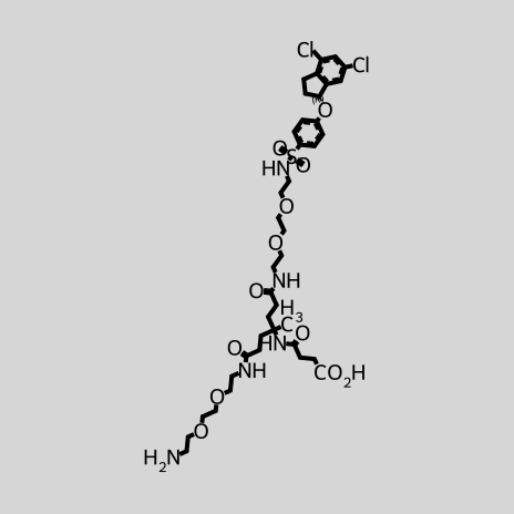 CC(CCC(=O)NCCOCCOCCN)(CCC(=O)NCCOCCOCCNS(=O)(=O)c1ccc(O[C@@H]2CCc3c(Cl)cc(Cl)cc32)cc1)NC(=O)CCC(=O)O